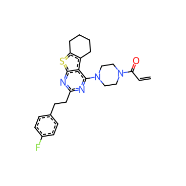 C=CC(=O)N1CCN(c2nc(CCc3ccc(F)cc3)nc3sc4c(c23)CCCC4)CC1